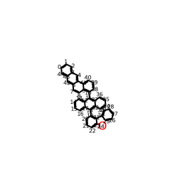 c1ccc2cc3c(ccc4c(-c5c6ccccc6c(-c6cccc7oc8ccccc8c67)c6ccccc56)cccc43)cc2c1